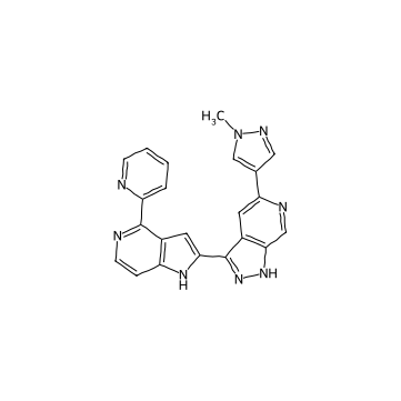 Cn1cc(-c2cc3c(-c4cc5c(-c6ccccn6)nccc5[nH]4)n[nH]c3cn2)cn1